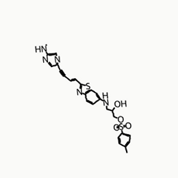 CNc1cnc(C#C/C=C/c2nc3ccc(NCC(O)COS(=O)(=O)c4ccc(C)cc4)cc3s2)cn1